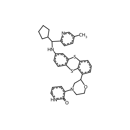 Cc1ccc(C(Nc2ccc3c(c2)Sc2cccc(C4CN(c5ccc[nH]c5=O)CCO4)c2S3)C2CCCC2)nc1